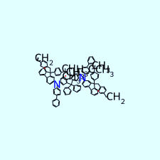 C=Cc1ccc(CC2(c3ccc(C(C)(C)C)cc3)c3ccccc3-c3ccc(N(c4ccc(-c5ccccc5)cc4)c4ccc5c(c4)C(c4ccccc4)(c4ccccc4)c4cc(N(c6ccc(-c7ccccc7)cc6)c6ccc7c(c6)C(Cc6ccc(C=C)cc6)(c6ccc(C(C)(C)C)cc6)c6ccccc6-7)ccc4-5)cc32)cc1